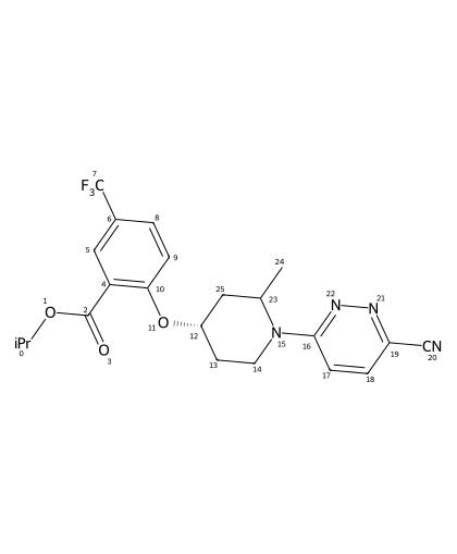 CC(C)OC(=O)c1cc(C(F)(F)F)ccc1O[C@H]1CCN(c2ccc(C#N)nn2)C(C)C1